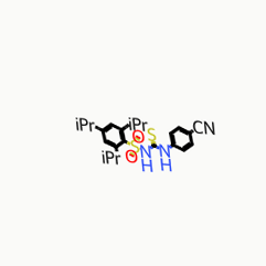 CC(C)c1cc(C(C)C)c(S(=O)(=O)NC(=S)Nc2ccc(C#N)cc2)c(C(C)C)c1